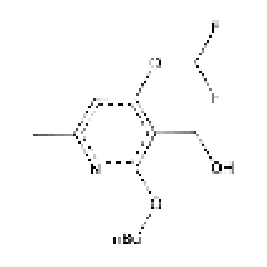 CCCCOc1nc(C)cc(OC(F)F)c1CO